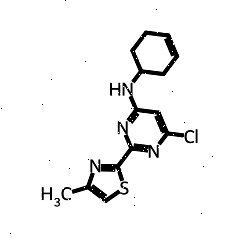 Cc1csc(-c2nc(Cl)cc(NC3CC=CCC3)n2)n1